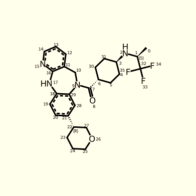 C[C@H](N[C@H]1CC[C@H](C(=O)N2Cc3cccnc3Nc3ccc([C@H]4CCCOC4)cc32)CC1)C(F)(F)F